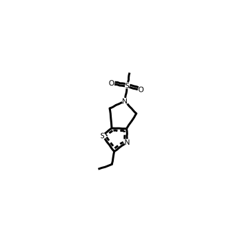 CCc1nc2c(s1)CN(S(C)(=O)=O)C2